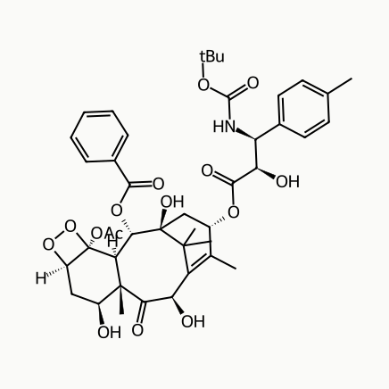 CC(=O)O[C@@]12OO[C@@H]1C[C@H](O)[C@@]1(C)C(=O)[C@H](O)C3=C(C)[C@@H](OC(=O)[C@H](O)[C@@H](NC(=O)OC(C)(C)C)c4ccc(C)cc4)C[C@@](O)([C@@H](OC(=O)c4ccccc4)[C@H]21)C3(C)C